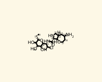 CSC1OC([C@H](NC(=O)[C@H]2NC[C@@H]3CC(N)CCO[C@H]32)[C@H](C)Cl)C(O)C(O)C1O